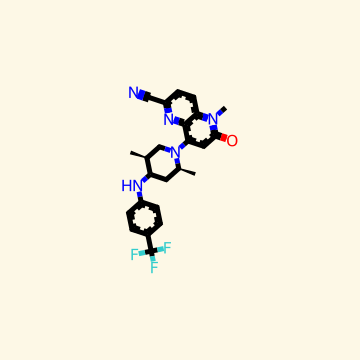 C[C@H]1CN(c2cc(=O)n(C)c3ccc(C#N)nc23)[C@@H](C)CC1Nc1ccc(C(F)(F)F)cc1